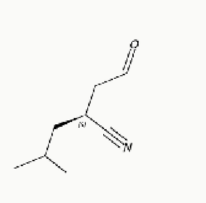 CC(C)C[C@H](C#N)CC=O